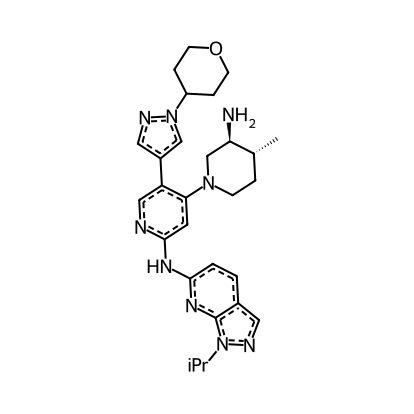 CC(C)n1ncc2ccc(Nc3cc(N4CC[C@@H](C)[C@H](N)C4)c(-c4cnn(C5CCOCC5)c4)cn3)nc21